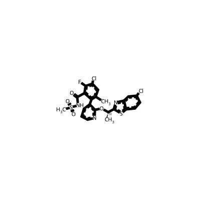 Cc1cc(Cl)c(F)c(C(=O)NS(C)(=O)=O)c1-c1cccnc1O[C@@H](C)c1nc2cc(Cl)ccc2s1